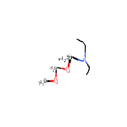 CCN(CC)[SiH2]O[SiH2]O[SiH3]